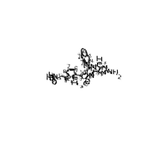 COc1cc(-c2cccc(C(F)CCN[SH](=O)=O)c2F)cc2c(N3CCOCC3)nc(-c3cnc(N)nc3C)nc12